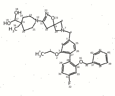 CCOc1cc(CN2CC3(CC(N4CCC(C)(C(O)O)CC4)=NO3)C2)ccc1-c1ccc(F)cc1OCc1ccccc1